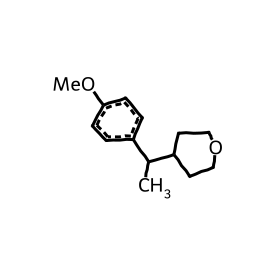 COc1ccc(C(C)C2CCOCC2)cc1